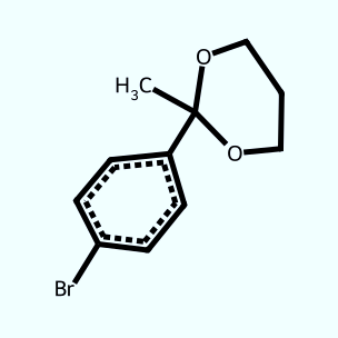 CC1(c2ccc(Br)cc2)OCCCO1